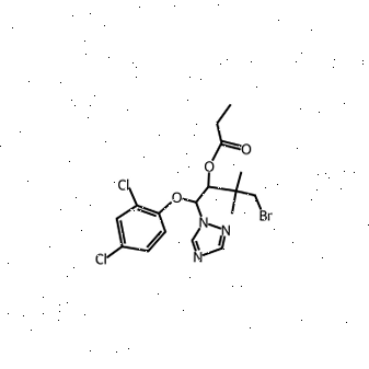 CCC(=O)OC(C(Oc1ccc(Cl)cc1Cl)n1cncn1)C(C)(C)CBr